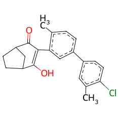 Cc1cc(-c2ccc(C)c(C3=C(O)C4CCC(C4)C3=O)c2)ccc1Cl